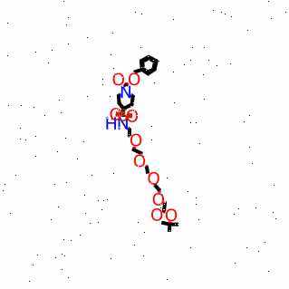 CC(C)(C)OC(=O)COCCOCCOCCOCCNS(=O)(=O)C1CCN(C(=O)OCc2ccccc2)CC1